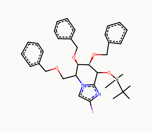 CC(C)(C)[Si](C)(C)OC1c2nc(I)cn2C(COCc2ccccc2)[C@@H](OCc2ccccc2)[C@H]1OCc1ccccc1